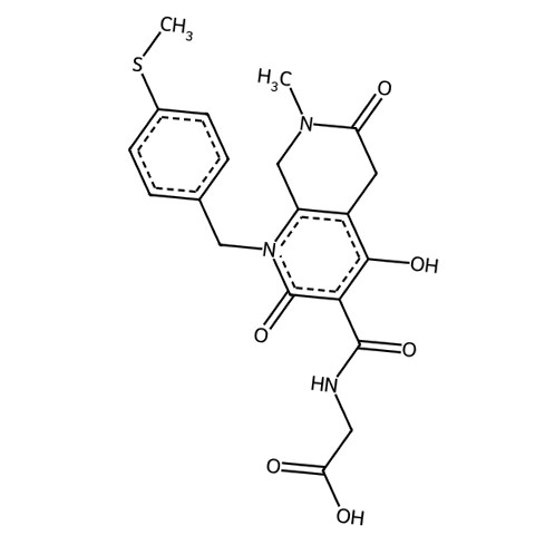 CSc1ccc(Cn2c3c(c(O)c(C(=O)NCC(=O)O)c2=O)CC(=O)N(C)C3)cc1